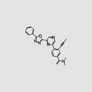 C=C(c1ccc(-c2cncc(-c3nnc(-c4ccccc4)o3)n2)c(C#CC)c1)N(C)C